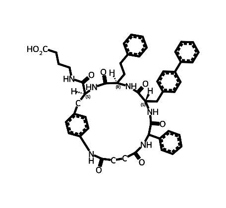 O=C(O)CCCNC(=O)[C@@H]1Cc2ccc(cc2)NC(=O)CCC(=O)NC(c2ccccc2)C(=O)N[C@@H](Cc2ccc(-c3ccccc3)cc2)C(=O)N[C@H](CCc2ccccc2)C(=O)N1